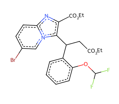 CCOC(=O)CC(c1ccccc1OC(F)F)c1c(C(=O)OCC)nc2ccc(Br)cn12